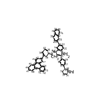 CC(/N=C(\C=C(/N)c1ccc(C2CC=CNC2)cc1)c1cccc(-c2ccc3ccccc3c2)c1)C1C=CC=C(c2ccc3c4ccccc4c4ccccc4c3c2)C1